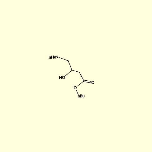 CCCCCCCC(O)CC(=O)OCCCC